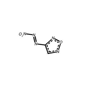 O=[N+]([O-])N=Nc1[c]non1